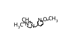 CCOc1ccc(CN2CCN(C(C)C)CC2)cn1